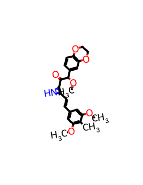 COc1cc(/C=C/C2NC2C(=O)C(OC)c2ccc3c(c2)OCCO3)cc(OC)c1C